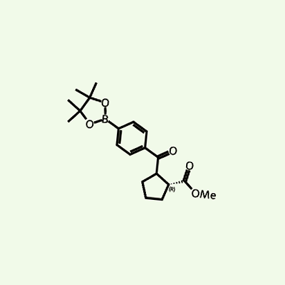 COC(=O)[C@@H]1CCCC1C(=O)c1ccc(B2OC(C)(C)C(C)(C)O2)cc1